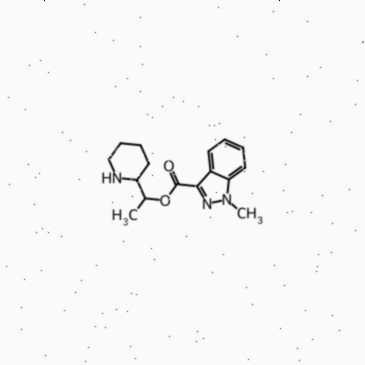 CC(OC(=O)c1nn(C)c2ccccc12)C1CCCCN1